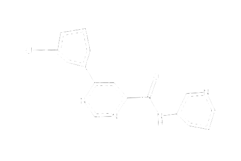 O=C(Nc1cccnc1)c1cc(-c2cccc(Cl)c2)ncn1